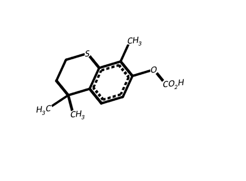 Cc1c(OC(=O)O)ccc2c1SCCC2(C)C